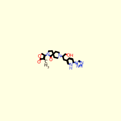 CC1=C(N2CCC3(CCN(C(CO)CC4=CNC(n5cnnn5)C=C4)CC3)C2=O)COC1=O